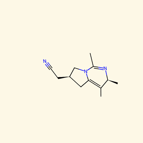 CC1=N[C@@H](C)C(C)=C2C[C@@H](CC#N)CN12